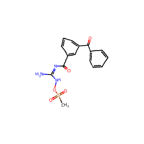 CS(=O)(=O)ONC(N)=NC(=O)c1cccc(C(=O)c2ccccc2)c1